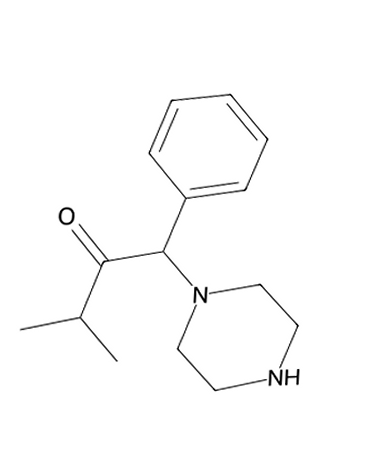 CC(C)C(=O)C(c1ccccc1)N1CCNCC1